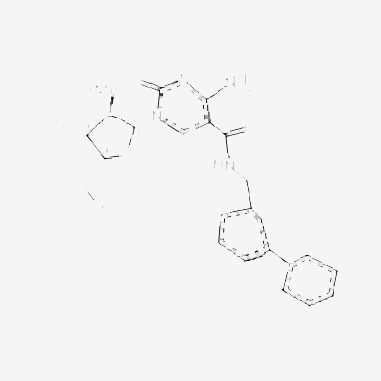 CO[C@@H]1[C@@H](O)[C@@H](CO)O[C@H]1n1cc(C(=O)NCc2cccc(-c3ccccc3)c2)c(N)nc1=O